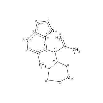 C=C(C)N(c1c(C)cnc2ccoc12)C1CCCOC1